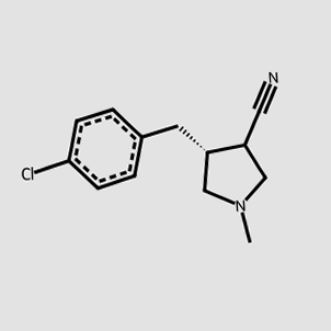 CN1CC(C#N)[C@@H](Cc2ccc(Cl)cc2)C1